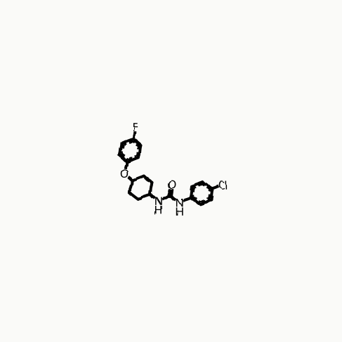 O=C(Nc1ccc(Cl)cc1)NC1CCC(Oc2ccc(F)cc2)CC1